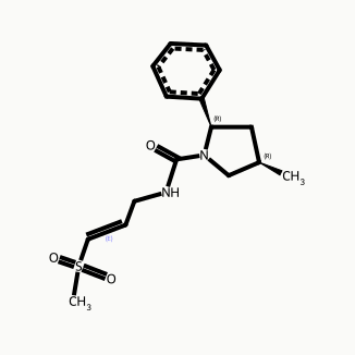 C[C@@H]1C[C@H](c2ccccc2)N(C(=O)NC/C=C/S(C)(=O)=O)C1